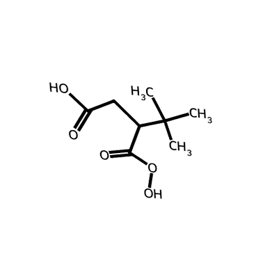 CC(C)(C)C(CC(=O)O)C(=O)OO